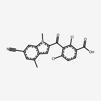 Cc1cc(C#N)cc2c1cc(C(=O)c1c(Cl)ccc(C(=O)O)c1Cl)n2C